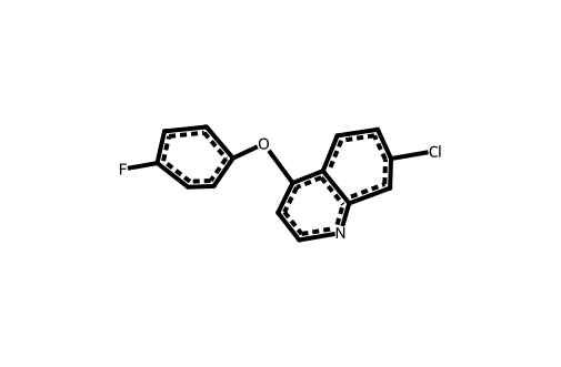 Fc1ccc(Oc2ccnc3cc(Cl)ccc23)cc1